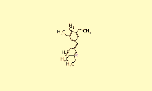 C=C/C(=C\C(=Cc1cc(CC)c(C)c(CC)c1)CP)CC